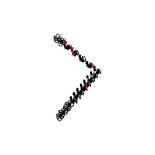 CC[n+]1ccn(C)c1.CC[n+]1ccn(C)c1.CC[n+]1ccn(C)c1.CC[n+]1ccn(C)c1.CC[n+]1ccn(C)c1.CC[n+]1ccn(C)c1.CC[n+]1ccn(C)c1.CC[n+]1ccn(C)c1.CC[n+]1ccn(C)c1.CC[n+]1ccn(C)c1.CC[n+]1ccn(C)c1.CC[n+]1ccn(C)c1.[O]=[Sb]([O-])([O-])[F].[O]=[Sb]([O-])([O-])[F].[O]=[Sb]([O-])([O-])[F].[O]=[Sb]([O-])([O-])[F].[O]=[Sb]([O-])([O-])[F].[O]=[Sb]([O-])([O-])[F]